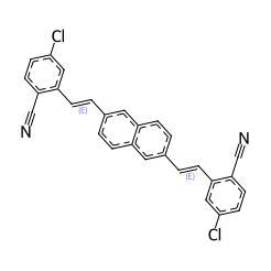 N#Cc1ccc(Cl)cc1/C=C/c1ccc2cc(/C=C/c3cc(Cl)ccc3C#N)ccc2c1